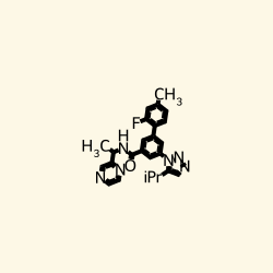 Cc1ccc(-c2cc(C(=O)NC(C)c3cnccn3)cc(-n3nncc3C(C)C)c2)c(F)c1